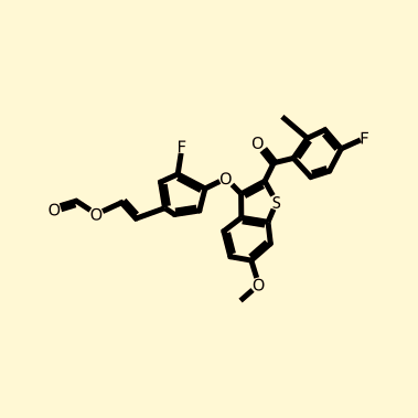 COc1ccc2c(Oc3ccc(/C=C/OC=O)cc3F)c(C(=O)c3ccc(F)cc3C)sc2c1